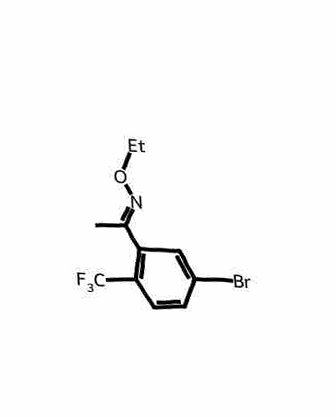 CCO/N=C(\C)c1cc(Br)ccc1C(F)(F)F